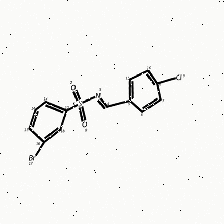 O=S(=O)(/N=C/c1ccc(Cl)cc1)c1cccc(Br)c1